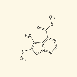 COC(=O)c1ncnn2cc(OC)c(C)c12